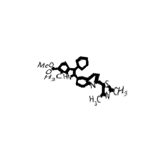 COC(=O)c1ccc2c(C3CCCCC3)c(-c3ccc4nc(-c5sc(C)nc5C)ccc4c3)[nH]c2c1C